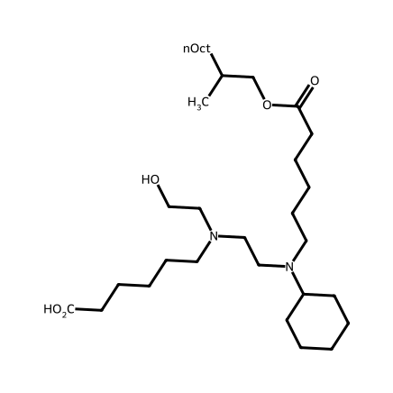 CCCCCCCCC(C)COC(=O)CCCCCN(CCN(CCO)CCCCCC(=O)O)C1CCCCC1